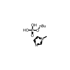 CCCCOP(=O)(O)O.Cn1ccnc1